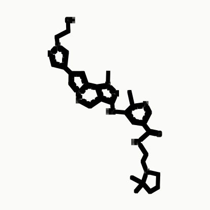 Cc1ncc(C(=O)NCCN2CCCC2(C)C)cc1Nc1nn(C)c2c1cnn1cc(-c3cnn(CCO)c3)cc21